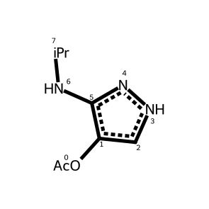 CC(=O)Oc1c[nH]nc1NC(C)C